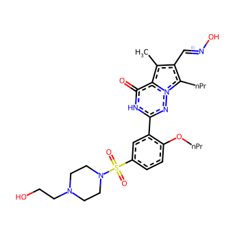 CCCOc1ccc(S(=O)(=O)N2CCN(CCO)CC2)cc1-c1nn2c(CCC)c(/C=N/O)c(C)c2c(=O)[nH]1